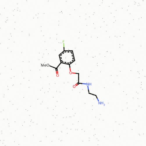 COC(=O)c1cc(F)ccc1OCC(=O)NCCN